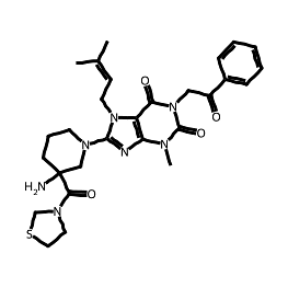 CC(C)=CCn1c(N2CCCC(N)(C(=O)N3CCSC3)C2)nc2c1c(=O)n(CC(=O)c1ccccc1)c(=O)n2C